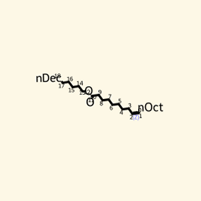 CCCCCCCC/C=C\CCCCCCCC(=O)OCCCCCCCCCCCCCCC